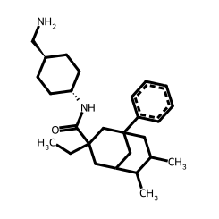 CCC1(C(=O)N[C@H]2CC[C@H](CN)CC2)CC2CC(c3ccccc3)(CC(C)C2C)C1